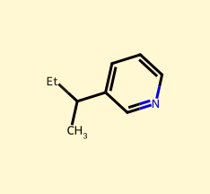 CCC(C)c1cccnc1